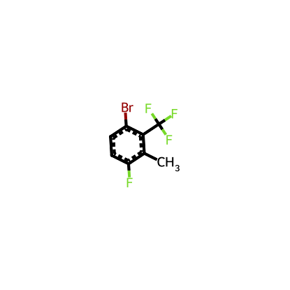 Cc1c(F)ccc(Br)c1C(F)(F)F